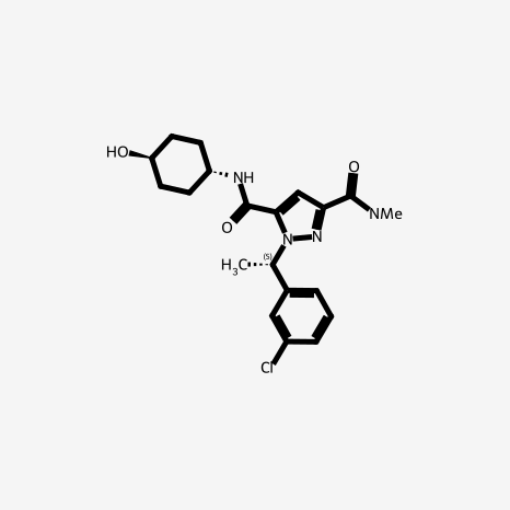 CNC(=O)c1cc(C(=O)N[C@H]2CC[C@H](O)CC2)n([C@@H](C)c2cccc(Cl)c2)n1